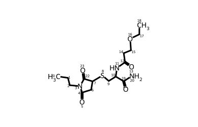 CCCN1C(=O)CC(SCC(NC(=O)CCOCC)C(N)=O)C1=O